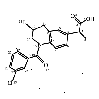 CC(C(=O)O)c1ccc2c(c1)CC(F)CN2C(=O)c1cccc(Cl)c1